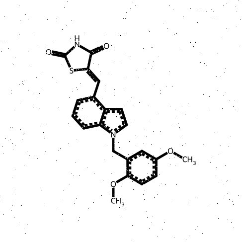 COc1ccc(OC)c(Cn2ccc3c(C=C4SC(=O)NC4=O)cccc32)c1